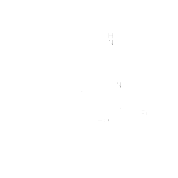 CCC(O)N1CCNCC1C(c1ccccc1)(c1ccccc1)c1ccccc1